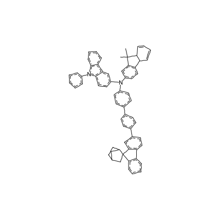 CC1(C)c2cc(N(c3ccc(-c4ccc(-c5ccc6c(c5)C5(CC7CCC5C7)c5ccccc5-6)cc4)cc3)c3ccc4c(c3)c3ccccc3n4-c3ccccc3)ccc2C2C=CC=CC21